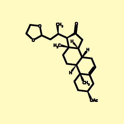 CC(=O)O[C@H]1CC[C@@]2(C)C(=CC[C@H]3[C@@H]4CC(=O)[C@H]([C@H](C)CC5OCCO5)[C@@]4(C)CC[C@@H]32)C1